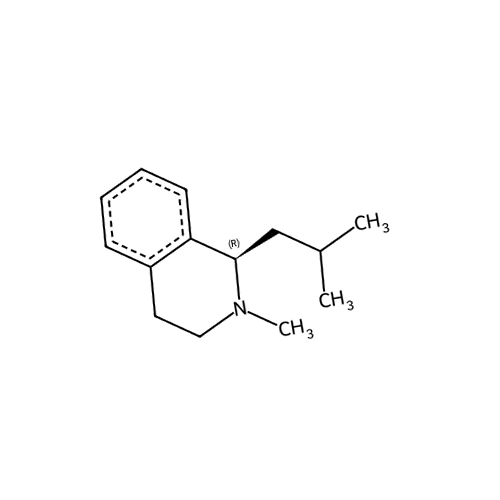 CC(C)C[C@@H]1c2ccccc2CCN1C